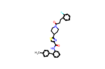 Cc1ccc(-c2ccccc2NC(=O)c2csc(C3CCN(C(=O)CCc4ccccc4F)CC3)n2)cc1